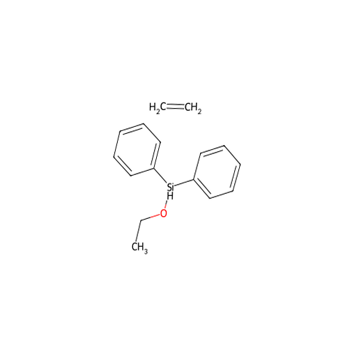 C=C.CCO[SiH](c1ccccc1)c1ccccc1